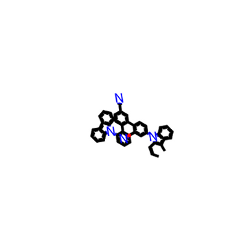 C/C=C\c1c(C)c2ccccc2n1-c1ccc(-c2cc(C#N)ccc2-c2ccccc2-n2c3ccccc3c3ccccc32)c(C#N)c1